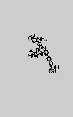 NC1(c2ccc3c(c2)OCO3)CCN(c2nc(Nc3n[nH]c(C4CC4)c3F)c3cc(-c4ccc(OCC(O)CO)cc4)ccc3n2)CC1